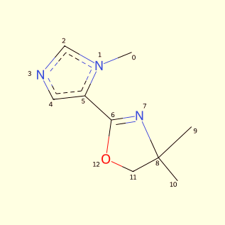 Cn1cncc1C1=NC(C)(C)CO1